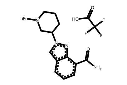 CC(C)N1CCCC(n2cc3cccc(C(N)=O)c3n2)C1.O=C(O)C(F)(F)F